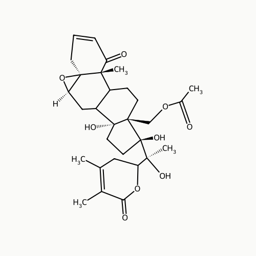 CC(=O)OC[C@]12CCC3C(C[C@H]4O[C@]45CC=CC(=O)[C@]35C)[C@]1(O)CC[C@@]2(O)[C@@](C)(O)C1CC(C)=C(C)C(=O)O1